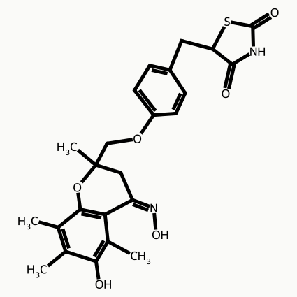 Cc1c(C)c2c(c(C)c1O)/C(=N\O)CC(C)(COc1ccc(CC3SC(=O)NC3=O)cc1)O2